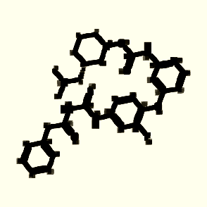 CN(C)C[C@@H]1CCCN(OC(=O)Nc2cc(Oc3ccc(NC(=S)NC(=O)Cc4ccccc4)cc3F)ccn2)C1